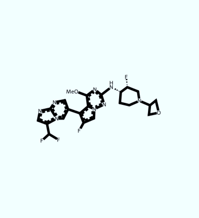 COc1nc(N[C@H]2CCN(C3COC3)C[C@H]2F)nn2cc(F)c(-c3cnc4ncc(C(F)F)n4c3)c12